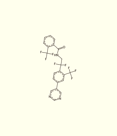 O=C(NCC(F)(F)c1ccc(-c2cncnc2)cc1C(F)(F)F)c1ccccc1C(F)(F)F